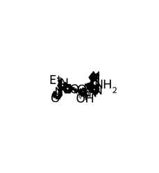 CCc1cc(N2CCOCC2)c2ccc(OC[C@H]3O[C@@H](n4cc(-c5ccn(C)n5)c5c(N)ncnc54)[C@@H](F)[C@@H]3O)cc2n1